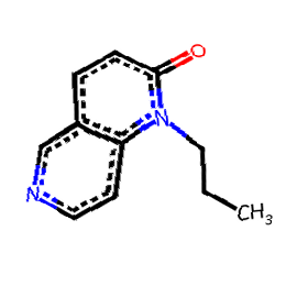 CCCn1c(=O)ccc2cnccc21